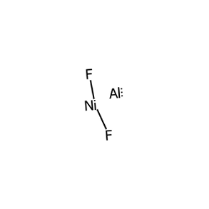 [Al].[F][Ni][F]